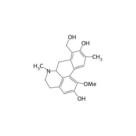 COc1c(O)cc2c3c1-c1cc(C)c(O)c(CO)c1CC3N(C)CC2